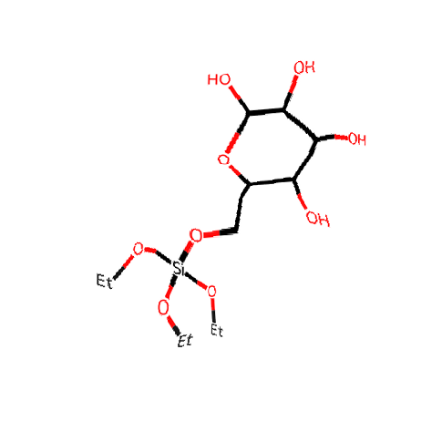 CCO[Si](OCC)(OCC)OCC1OC(O)C(O)C(O)C1O